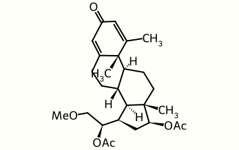 COC[C@H](OC(C)=O)[C@@H]1C[C@H](OC(C)=O)[C@@]2(C)CC[C@H]3[C@@H](CCC4=CC(=O)C=C(C)[C@@]43C)[C@H]12